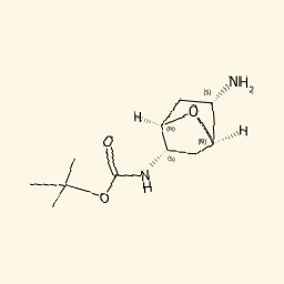 CC(C)(C)OC(=O)N[C@H]1C[C@H]2O[C@@H]1C[C@@H]2N